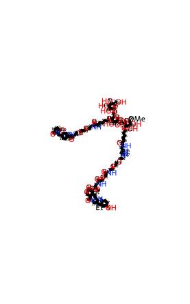 CCc1c2c(nc3ccc(O)cc13)-c1cc3c(c(=O)n1C2)COC(=O)[C@@]3(CC)OC(=O)CNC(=O)COCC(=O)NCCOCCOCCn1cc(CNC(=O)CCCCCO[C@H]2[C@@H](O)[C@@H](O)[C@@H](OC)O[C@@H]2CO[C@H]2O[C@H](CO[C@H]3O[C@H](CO)[C@@H](O)[C@@H](O)[C@H]3O)[C@@H](OCCCCCC(=O)NCCOCCOCCNC(=O)C3CCC(CN4C(=O)C=CC4=O)CC3)[C@@H](O)[C@H]2O)nn1